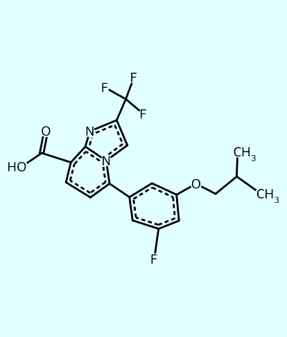 CC(C)COc1cc(F)cc(-c2ccc(C(=O)O)c3nc(C(F)(F)F)cn23)c1